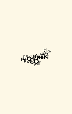 CC1(C)CC(=O)N[C@@H]1CNc1nnc(-c2ccc(C(F)(F)F)cc2O)c2ccncc12